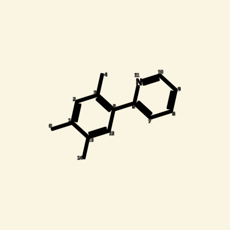 Cc1cc(C)c(-c2ccccn2)cc1C